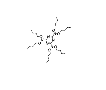 CCCCON(OCCCC)c1nc(N(OCCCC)OCCCC)nc(N(OCCCC)OCCCC)n1